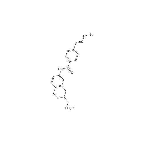 CCO/N=C/c1ccc(C(=O)Nc2ccc3c(c2)CC(CC(=O)OCC)CC3)cc1